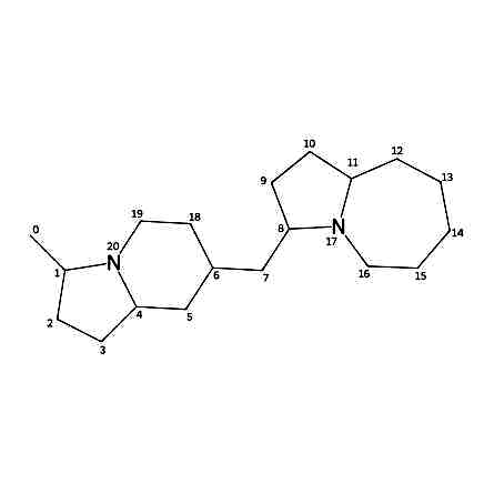 CC1CCC2CC(CC3CCC4CCCCCN43)CCN12